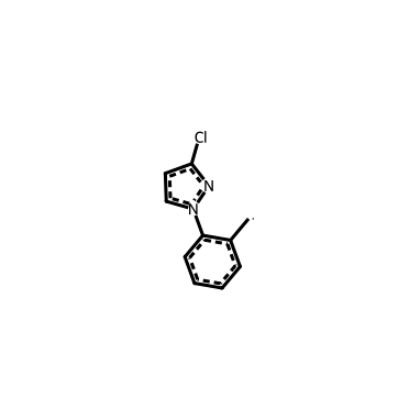 [CH2]c1ccccc1-n1ccc(Cl)n1